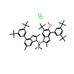 COc1c(C(C)(C)C)cc2c(c1-c1cc(C(C)(C)C)cc(C(C)(C)C)c1)C=C(C)[CH]2[Zr+2]([CH]1C(C)=Cc2c(-c3cc(C(C)(C)C)cc(C(C)(C)C)c3)cc(C)cc21)=[Si](C)C.[Cl-].[Cl-]